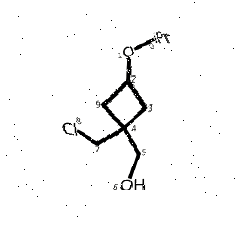 CC(C)OC1CC(CO)(CCl)C1